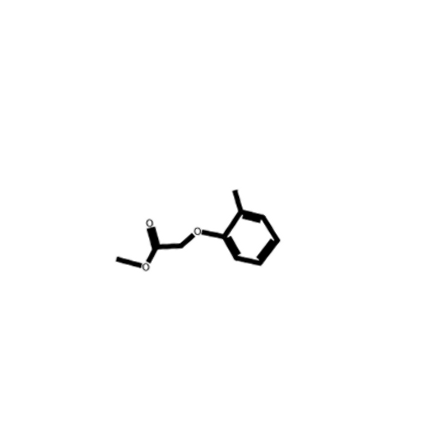 [CH2]c1ccccc1OCC(=O)OC